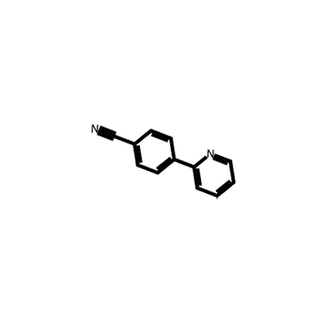 N#Cc1ccc(-c2c[c]ccn2)cc1